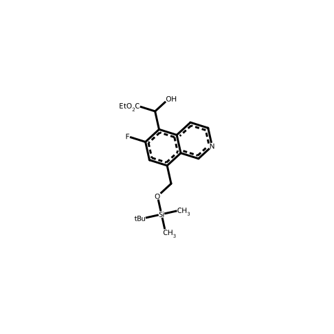 CCOC(=O)C(O)c1c(F)cc(CO[Si](C)(C)C(C)(C)C)c2cnccc12